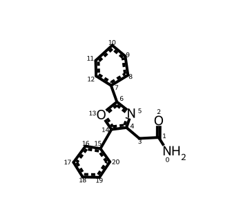 NC(=O)Cc1nc(-c2ccccc2)oc1-c1ccccc1